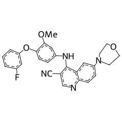 COc1cc(Nc2c(C#N)cnc3ccc(N4CCOCC4)cc23)ccc1Oc1cccc(F)c1